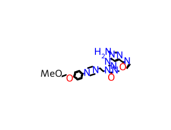 COCCOc1ccc(N2CCN(CCN3C(=O)N(C)N4C5=C(c6ncco6)N=CN(N)C5=NC34)CC2)cc1